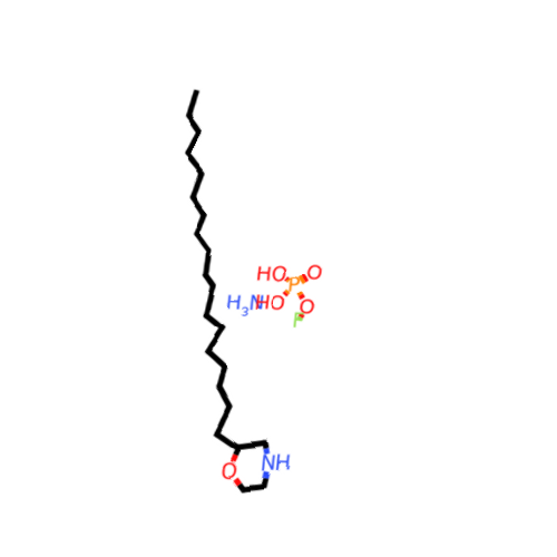 CCCCCCCCCCCCCCCCCCC1CNCCO1.N.O=P(O)(O)OF